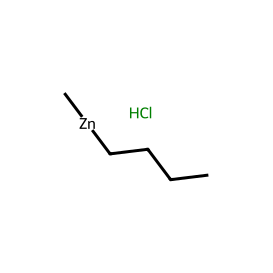 CCC[CH2][Zn][CH3].Cl